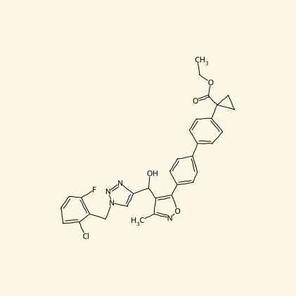 CCOC(=O)C1(c2ccc(-c3ccc(-c4onc(C)c4C(O)c4cn(Cc5c(F)cccc5Cl)nn4)cc3)cc2)CC1